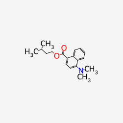 CC(C)CCOC(=O)c1ccc(N(C)C)c2ccccc12